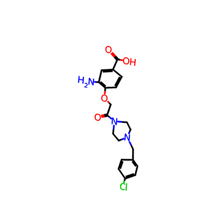 Nc1cc(C(=O)O)ccc1OCC(=O)N1CCN(Cc2ccc(Cl)cc2)CC1